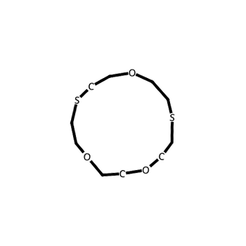 C1COCCSCCOCCSCCO1